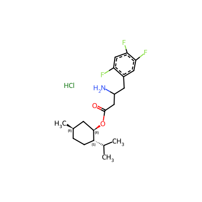 CC(C)[C@@H]1CC[C@@H](C)C[C@H]1OC(=O)CC(N)Cc1cc(F)c(F)cc1F.Cl